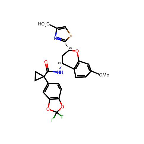 COc1ccc2c(c1)O[C@@H](c1nc(C(=O)O)cs1)C[C@H]2NC(=O)C1(c2ccc3c(c2)OC(F)(F)O3)CC1